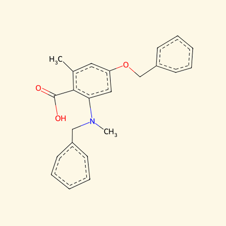 Cc1cc(OCc2ccccc2)cc(N(C)Cc2ccccc2)c1C(=O)O